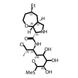 CC[C@@H]1CCO[C@@H]2[C@H](CN[C@@H]2C(=O)N[C@H]([C@H](C)Cl)[C@H]2OC(SC)[C@H](O)C(O)C2O)C1